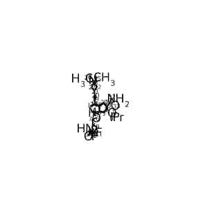 CC(C)Oc1cc2c(OCC3CC(F)(F)C(=O)N3)ncc(C#CC3CC(N(C)C)C3)c2cc1C(N)=O